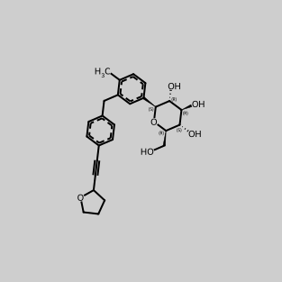 Cc1ccc([C@@H]2O[C@H](CO)[C@@H](O)[C@H](O)[C@H]2O)cc1Cc1ccc(C#CC2CCCO2)cc1